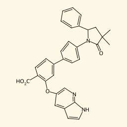 CC1(C)CC(c2ccccc2)N(c2ccc(-c3ccc(C(=O)O)c(Oc4cnc5[nH]ccc5c4)c3)cc2)C1=O